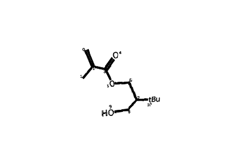 C=C(C)C(=O)OCC(CO)C(C)(C)C